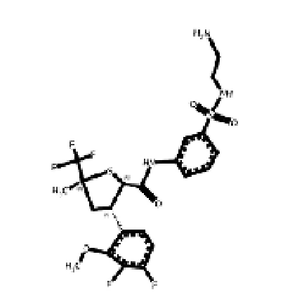 COc1c([C@@H]2C[C@](C)(C(F)(F)F)S[C@H]2C(=O)Nc2cccc(S(=O)(=O)NCCN)c2)ccc(F)c1F